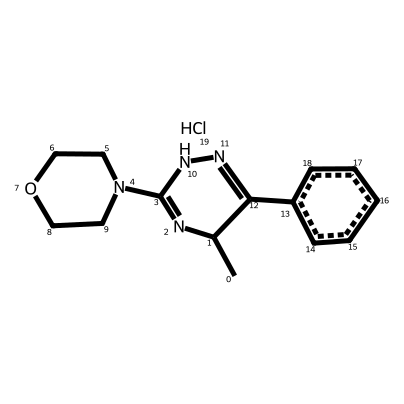 CC1N=C(N2CCOCC2)NN=C1c1ccccc1.Cl